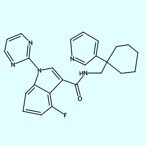 O=C(NCC1(c2cccnc2)CCCCC1)c1cn(-c2ncccn2)c2cccc(F)c12